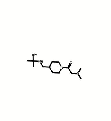 CCCC(C)(C)NCC1CCN(C(=O)CN(C)C)CC1